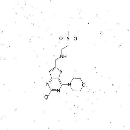 CS(=O)(=O)CCNCc1cc2nc(Cl)nc(N3CCOCC3)c2s1